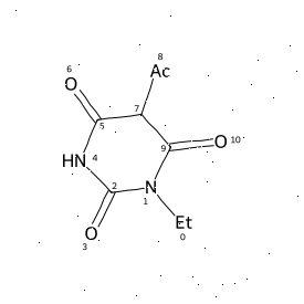 CCN1C(=O)NC(=O)C(C(C)=O)C1=O